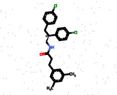 Cc1cc(C)cc(CCC(=O)NC[C@H](Cc2ccc(Cl)cc2)c2ccc(Cl)cc2)c1